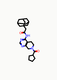 O=C(CC12CC3CC(CC(C3)C1)C2)Nc1ncnc2c1CCN(C(=O)C1CCCC1)C2